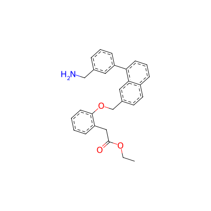 CCOC(=O)Cc1ccccc1OCc1ccc2cccc(-c3cccc(CN)c3)c2c1